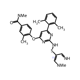 CN/C=C(\C=N)SNc1nc(Oc2ccc(C(=O)NC)cc2C)cc(-c2c(C)cccc2C)n1